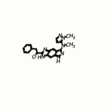 CN(c1n[nH]c2cc3[nH]c(C(=O)Cc4ccccc4)nc3cc12)c1ccnn1C